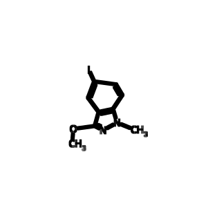 COc1nn(C)c2ccc(I)cc12